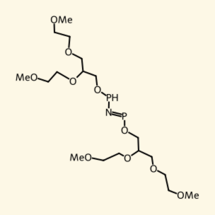 COCCOCC(COP=NPOCC(COCCOC)OCCOC)OCCOC